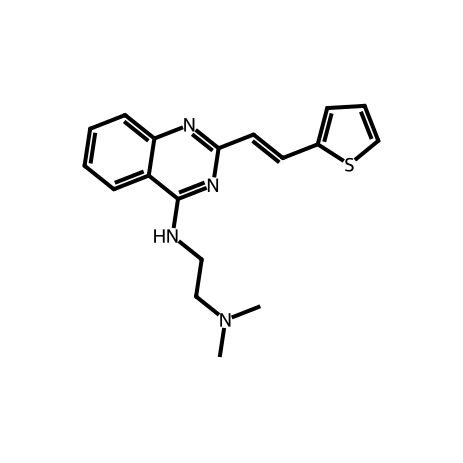 CN(C)CCNc1nc(/C=C/c2cccs2)nc2ccccc12